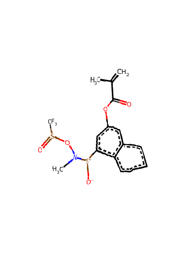 C=C(C)C(=O)Oc1cc([S+]([O-])N(C)OS(=O)C(F)(F)F)c2ccccc2c1